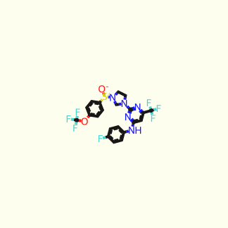 [O-][S+](c1ccc(OC(F)(F)F)cc1)N1CCN(c2nc(Nc3ccc(F)cc3)cc(C(F)(F)F)n2)C1